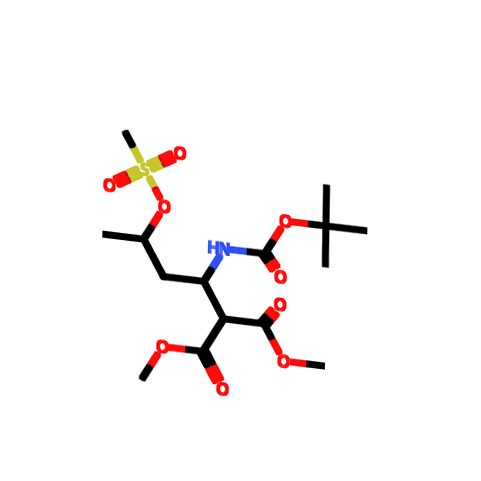 COC(=O)C(C(=O)OC)C(CC(C)OS(C)(=O)=O)NC(=O)OC(C)(C)C